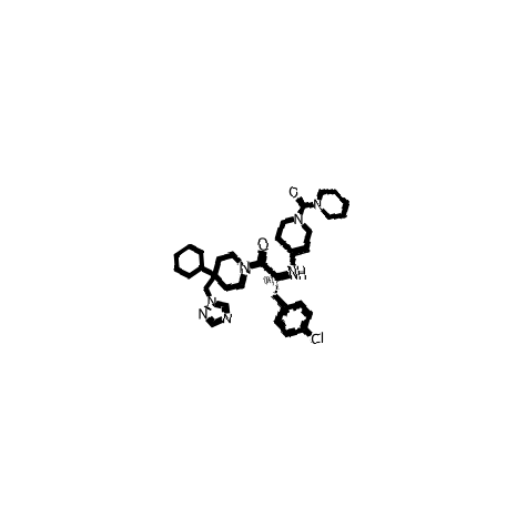 O=C([C@@H](Cc1ccc(Cl)cc1)NC1CCN(C(=O)N2CCCCC2)CC1)N1CCC(Cn2cncn2)(C2CCCCC2)CC1